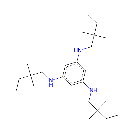 CCC(C)(C)CNc1cc(NCC(C)(C)CC)cc(NCC(C)(C)CC)c1